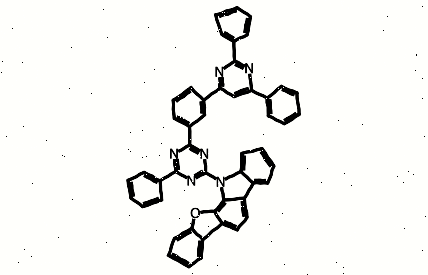 c1ccc(-c2cc(-c3cccc(-c4nc(-c5ccccc5)nc(-n5c6ccccc6c6ccc7c8ccccc8oc7c65)n4)c3)nc(-c3ccccc3)n2)cc1